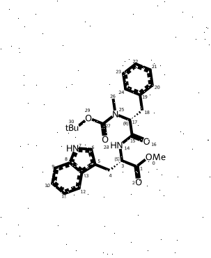 COC(=O)[C@H](Cc1c[nH]c2ccccc12)NC(=O)[C@@H](Cc1ccccc1)N(C)C(=O)OC(C)(C)C